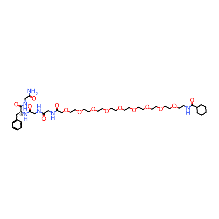 NC(=O)CNC(=O)[C@H](Cc1ccccc1)NC(=O)CNC(=O)CNC(=O)COCCOCCOCCOCCOCCOCCOCCOCCOCCNC(=O)C1CCCCC1